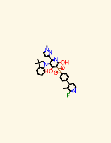 Cc1c(-c2ccc(S(=O)(=O)c3c(O)nc(-c4ccn(C)n4)c(N4CC(C)(C)c5ccccc54)c3O)cc2)ccnc1F